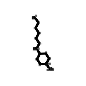 CC(C)CCCCCNC1CCN(C(C)(C)C)CC1